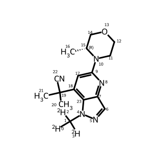 [2H]C([2H])([2H])n1ncc2nc(N3CCOC[C@H]3C)cc(C(C)(C)C#N)c21